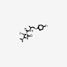 CCc1ccc(CCC(C)NC(=O)n2c(=O)nc(N(C)C)n2CC)cc1